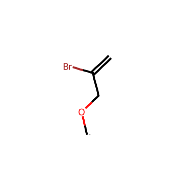 [CH2]OCC(=C)Br